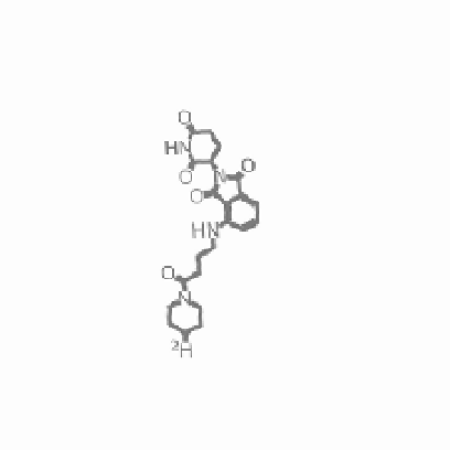 [2H]C1CCN(C(=O)CCCNc2cccc3c2C(=O)N(C2CCC(=O)NC2=O)C3=O)CC1